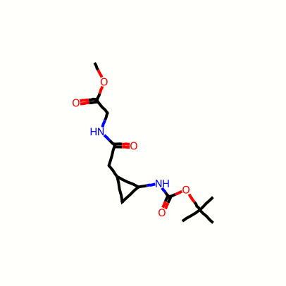 COC(=O)CNC(=O)CC1CC1NC(=O)OC(C)(C)C